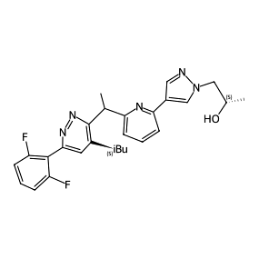 CC[C@H](C)c1cc(-c2c(F)cccc2F)nnc1C(C)c1cccc(-c2cnn(C[C@H](C)O)c2)n1